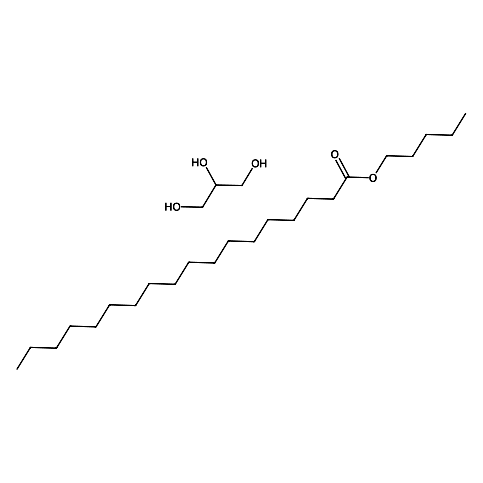 CCCCCCCCCCCCCCCCCC(=O)OCCCCC.OCC(O)CO